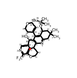 CC1(C)Cc2nc(C3CCOCC3)c([C@H](O)c3ccc(C(F)(F)F)nc3)c(C3=CCOCC3)c2C(O[Si](C)(C)C(C)(C)C)C1